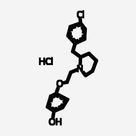 Cl.Oc1ccc(OCCN2CCCCC2Cc2ccc(Cl)cc2)cc1